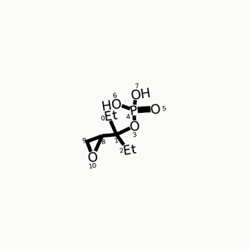 CCC(CC)(OP(=O)(O)O)C1CO1